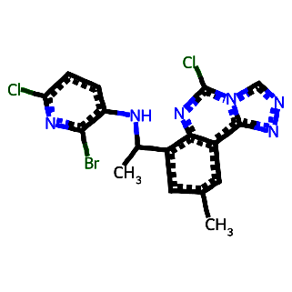 Cc1cc(C(C)Nc2ccc(Cl)nc2Br)c2nc(Cl)n3cnnc3c2c1